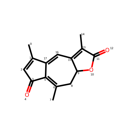 CC1=CC(=O)C2=C(C)CC3OC(=O)C(C)=C3C=C12